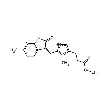 COC(=O)CCc1c[nH]c(C=C2C(=O)Nc3nc(C)ncc32)c1C